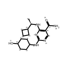 C[C@@H](Nc1nc(NC2CCC(O)CC2)ncc1C(N)=O)C1CCC1